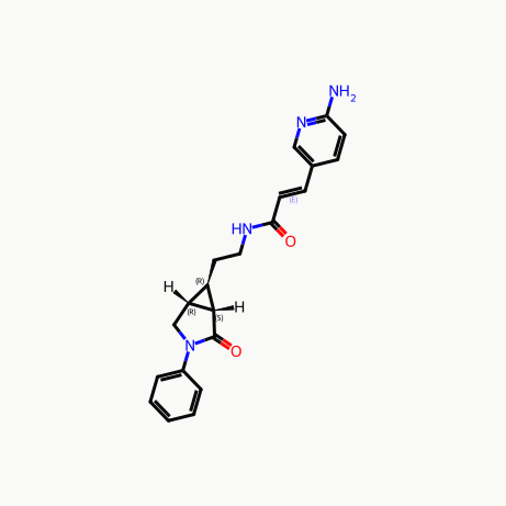 Nc1ccc(/C=C/C(=O)NCC[C@@H]2[C@H]3CN(c4ccccc4)C(=O)[C@@H]23)cn1